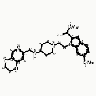 COC(=O)c1cc2ccc(OC)cc2n1CCN1CCC(NCc2cc3c(cn2)OCCO3)CC1